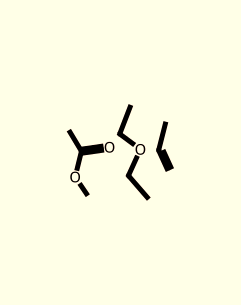 C=CC.CCOCC.COC(C)=O